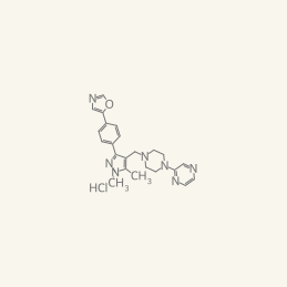 Cc1c(CN2CCN(c3cnccn3)CC2)c(-c2ccc(-c3cnco3)cc2)nn1C.Cl